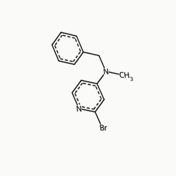 CN(Cc1ccccc1)c1ccnc(Br)c1